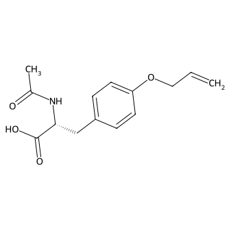 C=CCOc1ccc(C[C@@H](NC(C)=O)C(=O)O)cc1